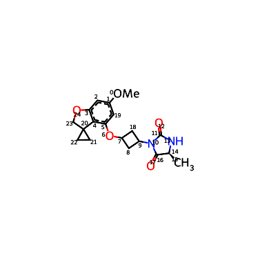 COc1cc2c(c(OC3CC(N4C(=O)N[C@@H](C)C4=O)C3)c1)C1(CC1)CO2